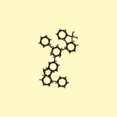 CC1(C)c2ccccc2-c2c(-c3nc(-c4ccccc4)nc(-c4ccc5c(c4)sc4cccc(-c6ccccc6)c45)n3)cccc21